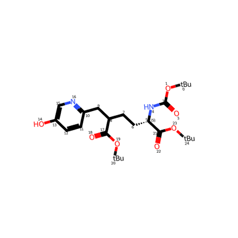 CC(C)(C)OC(=O)N[C@@H](CCC(Cc1ccc(O)cn1)C(=O)OC(C)(C)C)C(=O)OC(C)(C)C